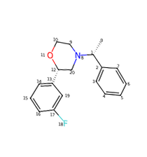 C[C@H](c1ccccc1)N1CCO[C@@H](c2cccc(F)c2)C1